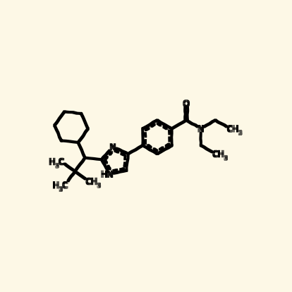 CCN(CC)C(=O)c1ccc(-c2c[nH]c(C(C3CCCCC3)C(C)(C)C)n2)cc1